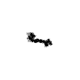 COC(=O)N[C@H](C(=O)N1[C@@H]2C[C@@H]2C[C@H]1c1nc(-c2ccc(-c3ccc4cc(-c5c[nH]c([C@@H]6C[C@H]7C[C@H]7N6C(=O)[C@@H](NC(=O)O)[C@@H](C)OC)n5)ccc4c3)cc2)c[nH]1)C(C)OC